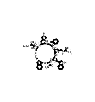 CCCC[C@H](NC(C)=O)C(=O)N[C@H]1CCCCn2cc3ccccc3c2SC[C@@H](C(N)=O)NC(=O)[C@H](CCc2c[nH]c3ccccc23)NC(=O)[C@H](CCCNC(N)N)NC(=O)[C@@H](Cc2ccccc2)NC(=O)[C@H](Cc2c[nH]cn2)NC1=O